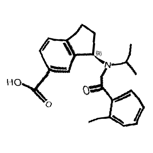 Cc1ccccc1C(=O)N(C(C)C)[C@@H]1CCc2ccc(C(=O)O)cc21